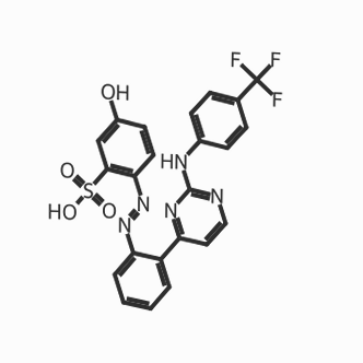 O=S(=O)(O)c1cc(O)ccc1N=Nc1ccccc1-c1ccnc(Nc2ccc(C(F)(F)F)cc2)n1